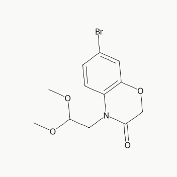 COC(CN1C(=O)COc2cc(Br)ccc21)OC